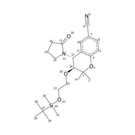 CC1(C)Oc2ccc(C#N)cc2[C@@H](N2CCCC2=O)[C@@H]1OCCO[Si](C)(C)C(C)(C)C